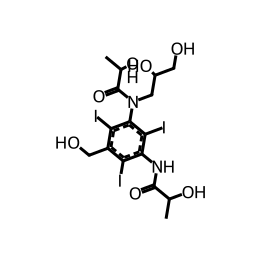 CC(O)C(=O)Nc1c(I)c(CO)c(I)c(N(CC(O)CO)C(=O)C(C)O)c1I